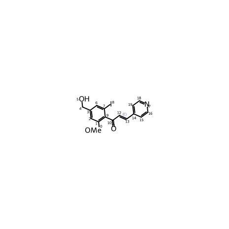 COc1cc(CO)cc(I)c1C(=O)/C=C/c1ccncc1